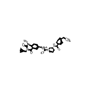 CC(C)n1c(=O)n(CC2CC2)c(=O)c2cc(NC(=O)N3CCC[C@@H](NC(=O)c4ccc(CC#N)cc4)C3)ccc21